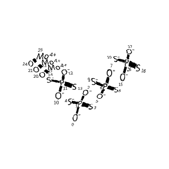 [O-]P([O-])(=S)[S-].[O-]P([O-])(=S)[S-].[O-]P([O-])(=S)[S-].[O-]P([O-])(=S)[S-].[O]=[Mo+4].[O]=[Mo+4].[O]=[Mo+4]